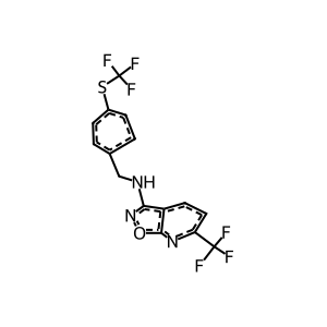 FC(F)(F)Sc1ccc(CNc2noc3nc(C(F)(F)F)ccc23)cc1